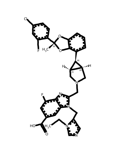 CCn1cncc1Cn1c(CN2C[C@@H]3[C@H](C2)[C@@H]3c2cccc3c2O[C@](C)(c2ccc(Cl)cc2F)O3)nc2c(F)cc(C(=O)O)cc21